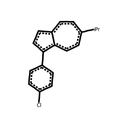 CC(C)c1ccc2ccc(-c3ccc(Cl)cc3)c-2cc1